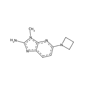 Cn1c(N)nc2ccc(N3CCC3)nc21